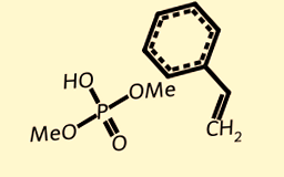 C=Cc1ccccc1.COP(=O)(O)OC